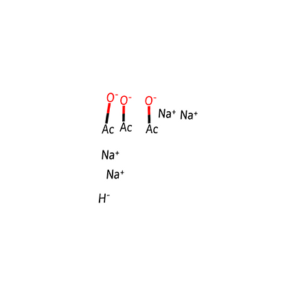 CC(=O)[O-].CC(=O)[O-].CC(=O)[O-].[H-].[Na+].[Na+].[Na+].[Na+]